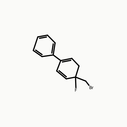 FC1(CBr)C=CC(c2ccccc2)=CC1